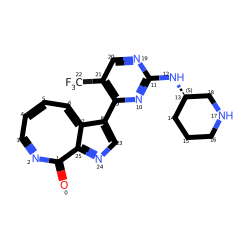 O=c1nccccc2c(-c3nc(N[C@H]4CCCNC4)ncc3C(F)(F)F)cnc1-2